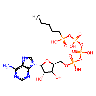 CCCCCP(=O)(O)OP(=O)(O)OP(=O)(O)OP(=O)(O)OC[C@H]1O[C@@H](n2cnc3c(N)ncnc32)[C@@H](O)C1O